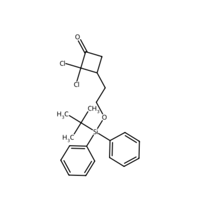 CC(C)(C)[Si](OCCC1CC(=O)C1(Cl)Cl)(c1ccccc1)c1ccccc1